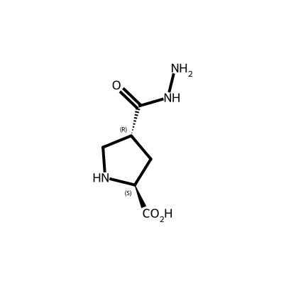 NNC(=O)[C@H]1CN[C@H](C(=O)O)C1